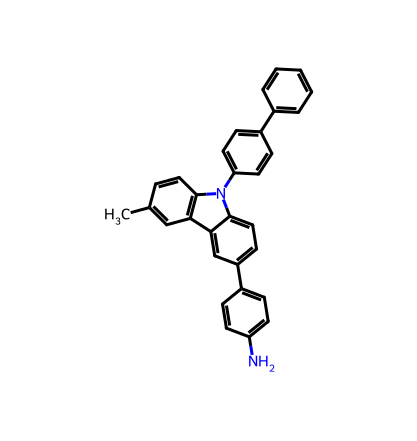 Cc1ccc2c(c1)c1cc(-c3ccc(N)cc3)ccc1n2-c1ccc(-c2ccccc2)cc1